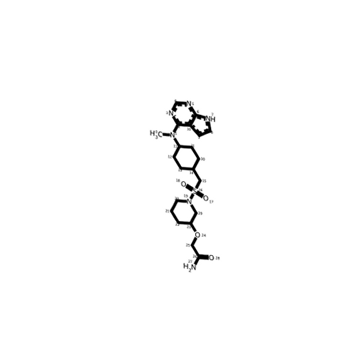 CN(c1ncnc2[nH]ccc12)C1CCC(CS(=O)(=O)N2CCCC(OCC(N)=O)C2)CC1